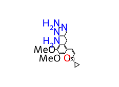 COc1cc(Cc2cnc(N)nc2N)c2c(c1OC)O[C@@H](C1CC1)C=C2